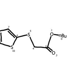 CCCCOC(=O)CSc1cccs1